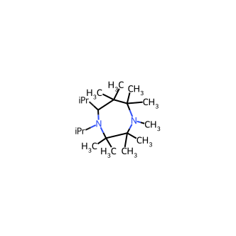 CC(C)C1N(C(C)C)C(C)(C)C(C)(C)N(C)C(C)(C)C1(C)C